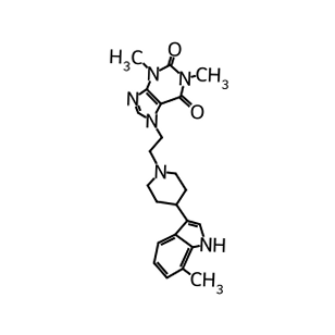 Cc1cccc2c(C3CCN(CCn4cnc5c4c(=O)n(C)c(=O)n5C)CC3)c[nH]c12